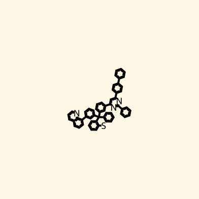 c1ccc(-c2ccc(-c3cc(-c4cccc(C5(c6cccc(-c7cccc8cccnc78)c6)c6ccccc6Sc6ccccc65)c4)nc(-c4ccccc4)n3)cc2)cc1